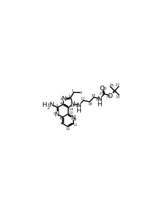 CCc1nc2c(N)nc3cccnc3c2n1NCCCNC(=O)OC(C)(C)C